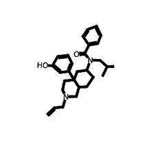 C=CCN1CCC2(c3cccc(O)c3)CC(N(CC(C)C)C(=O)c3ccccc3)CCC2C1